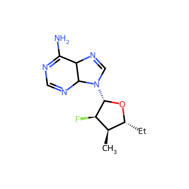 CC[C@H]1O[C@@H](N2C=NC3C(N)=NC=NC32)[C@H](F)[C@@H]1C